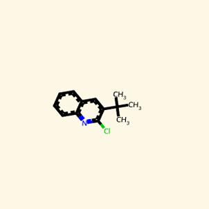 CC(C)(C)c1cc2ccccc2nc1Cl